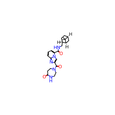 CC1(C)[C@H]2CC[C@@H](CNC(=O)c3cccc4nc(C(=O)N5CCNC(=O)CC5)cn34)[C@@H]1C2